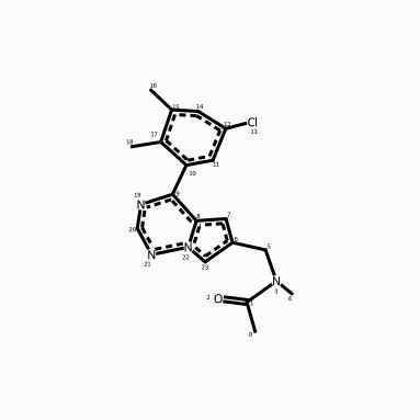 CC(=O)N(C)Cc1cc2c(-c3cc(Cl)cc(C)c3C)ncnn2c1